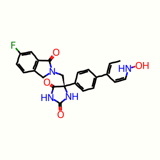 C/C=C(\C=C/NO)c1ccc([C@]2(CN3Cc4ccc(F)cc4C3=O)NC(=O)NC2=O)cc1